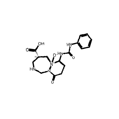 O=C(Nc1ccccc1)NC1CCC(=O)N2CNC[C@H](C(=O)O)C[N+]12[O-]